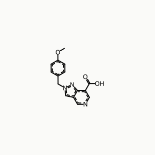 COc1ccc(Cn2cc3cncc(C(=O)O)c3n2)cc1